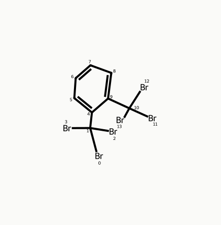 BrC(Br)(Br)c1ccccc1C(Br)(Br)Br